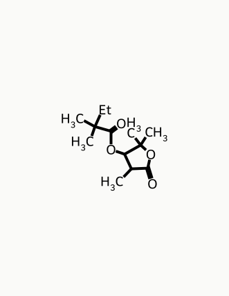 CCC(C)(C)C(=O)OC1C(C)C(=O)OC1(C)C